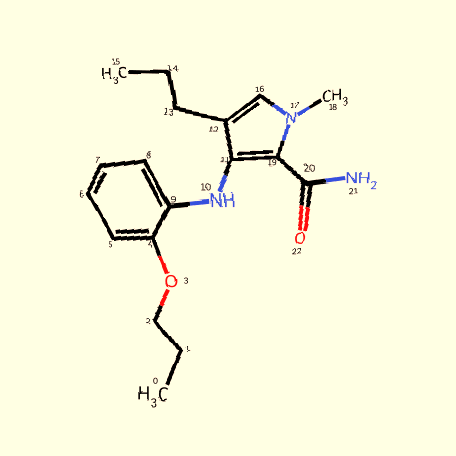 CCCOc1ccccc1Nc1c(CCC)cn(C)c1C(N)=O